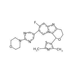 Cc1nc(C)c(C2OCCc3nc4cc(F)c(-c5cnc(N6CCOCC6)nc5)cn4c32)s1